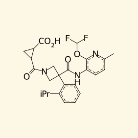 Cc1ccc(NC(=O)C2(c3ccccc3C(C)C)CN(C(=O)C3CC3C(=O)O)C2)c(OC(F)F)n1